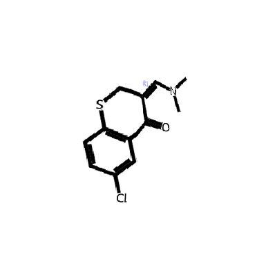 CN(C)/C=C1/CSc2ccc(Cl)cc2C1=O